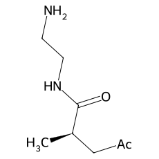 CC(=O)C[C@@H](C)C(=O)NCCN